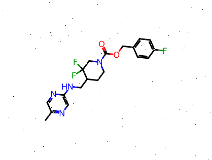 Cc1cnc(NCC2CCN(C(=O)OCc3ccc(F)cc3)CC2(F)F)cn1